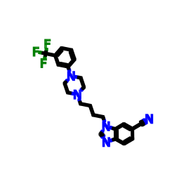 N#Cc1ccc2ncn(CCCCN3CCN(c4cccc(C(F)(F)F)c4)CC3)c2c1